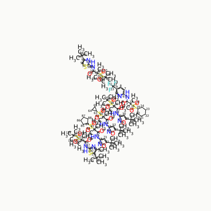 CC(C)(C(=O)Nc1ccc(C(F)(F)F)cn1)S(=O)(=O)C1CCCCC1.CC(C)(C)c1cc(NC(=O)C(C)(C)S(=O)(=O)C(C)(C)C)no1.CC(C)(C)c1cc(NC(=O)C(C)(C)S(=O)(=O)C2CC2)no1.CC(C)(C)c1cc(NC(=O)C(C)(C)S(=O)(=O)C2CCCC2)no1.CC(C)(C)c1csc(NC(=O)C(C)(C)S(=O)(=O)C(C)(C)C)n1.Cc1nc(NC(=O)C(C)(C)S(=O)(=O)C(C)(C)C)sc1C(C)(C)C